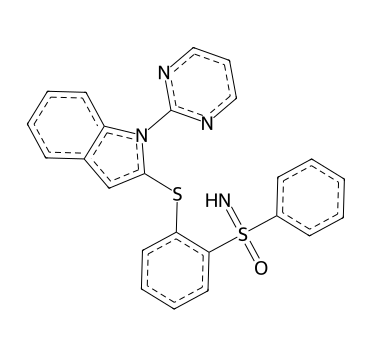 N=S(=O)(c1ccccc1)c1ccccc1Sc1cc2ccccc2n1-c1ncccn1